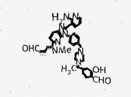 C=C(c1ccc(C=O)c(O)c1)N1CCN(Cc2ccc(-n3c(-c4cccnc4N)nc4ccc(/C(=C/C=C\C=O)NC)nc43)cc2)CC1